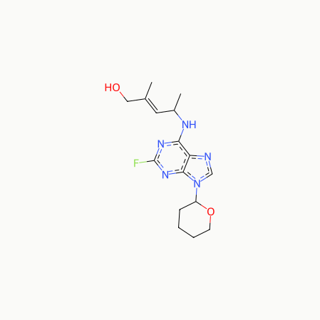 C/C(=C\C(C)Nc1nc(F)nc2c1ncn2C1CCCCO1)CO